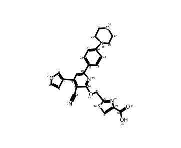 N#Cc1c(-c2ccoc2)cc(-c2ccc(N3CCOCC3)cc2)nc1OCc1nc(C(=O)O)cs1